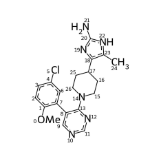 COc1ccc(Cl)cc1-c1cncnc1N1CCC(c2nc(N)[nH]c2C)CC1